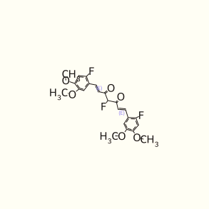 COc1cc(F)c(/C=C/C(=O)C(F)C(=O)/C=C/c2cc(OC)c(OC)cc2F)cc1OC